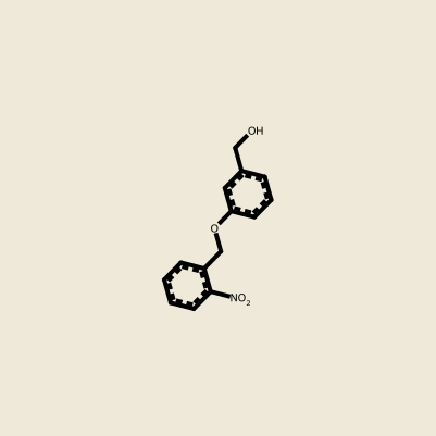 O=[N+]([O-])c1ccccc1COc1cccc(CO)c1